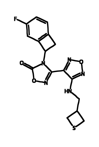 O=c1onc(-c2nonc2NCC2CSC2)n1C1Cc2ccc(F)cc21